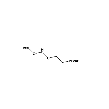 CCCCCCCOPOCCCC